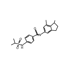 Cc1cc(NC(=O)c2ccc(NS(=O)(=O)C(C)C)cc2)cc2c1C(C)CC2